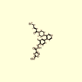 Cc1cc(-c2ccncc2N2CCN(C(=O)C=CCBr)CC2)ccc1CNC(=O)c1noc(C(C)(C)C)n1